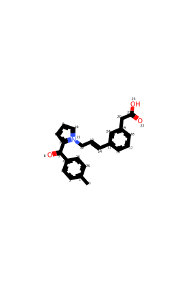 Cc1ccc(C(=O)c2cccn2CC=Cc2cccc(CC(=O)O)c2)cc1